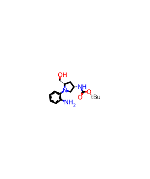 CC(C)(C)OC(=O)N[C@H]1C[C@@H](CO)N(c2ccccc2N)C1